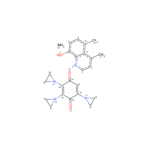 Cc1ccnc2c(O)ccc(C(F)(F)F)c12.O=C1C=C(N2CC2)C(=O)C(N2CC2)=C1N1CC1.[AlH3]